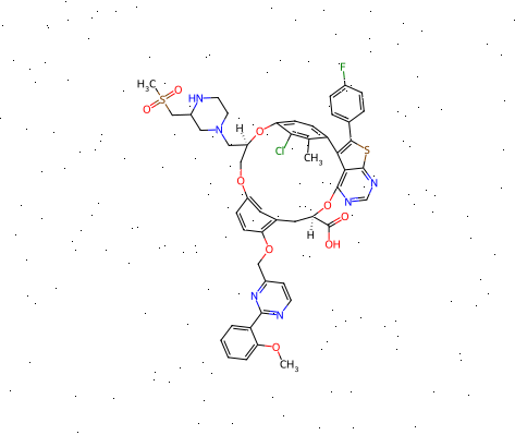 COc1ccccc1-c1nccc(COc2ccc3cc2C[C@H](C(=O)O)Oc2ncnc4sc(-c5ccc(F)cc5)c(c24)-c2ccc(c(Cl)c2C)O[C@H](CN2CCNC(CS(C)(=O)=O)C2)CO3)n1